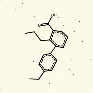 CCCc1c(C(=O)O)cccc1-c1ccc(CC)cc1